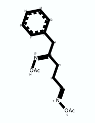 CC(=O)ON=CCCC(Cc1ccccc1)=NOC(C)=O